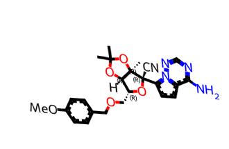 COc1ccc(COC[C@H]2O[C@@](C#N)(c3ccc4c(N)ncnn34)[C@]3(C)OC(C)(C)O[C@H]23)cc1